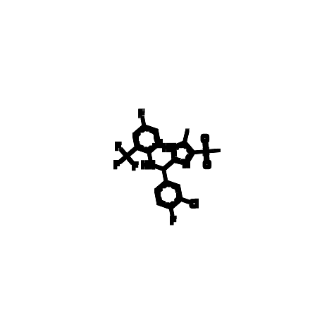 Cc1[nH]c(C(Nc2ncc(F)cc2C(F)(F)F)c2ccc(F)c(Cl)c2)nc1S(C)(=O)=O